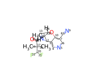 C[C@H]1C2c3cncc(C#N)c3O[C@H]1CN2C(=O)C(C)(C)C(F)F